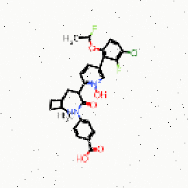 CC(F)Oc1ccc(Cl)c(F)c1-c1ccc(C(CC2CCC2C)C(=O)Nc2ccc(C(=O)O)cc2)[n+](O)c1